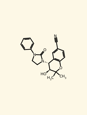 CC1(C)Oc2ccc(C#N)cc2[C@@H](N2CCN(c3ccccc3)C2=O)[C@@H]1O